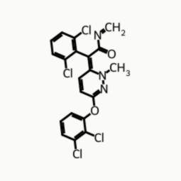 C=NC(=O)/C(=C1/C=CC(Oc2cccc(Cl)c2Cl)=NN1C)c1c(Cl)cccc1Cl